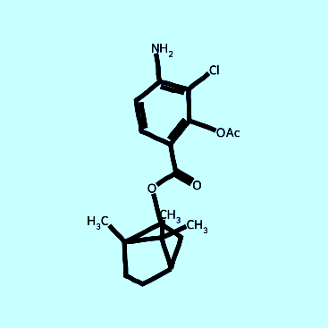 CC(=O)Oc1c(C(=O)OC2CC3CCC2(C)C3(C)C)ccc(N)c1Cl